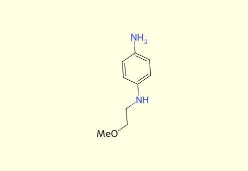 COCCNc1ccc(N)cc1